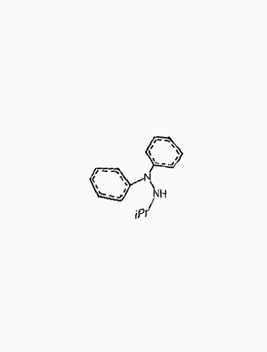 CC(C)NN(c1ccccc1)c1ccccc1